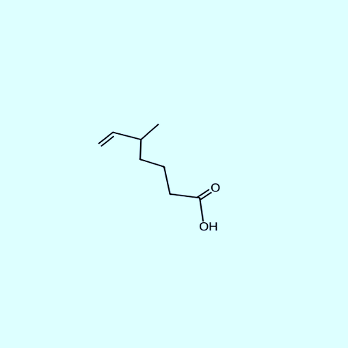 C=CC(C)CCCC(=O)O